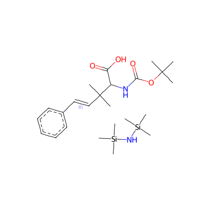 CC(C)(C)OC(=O)NC(C(=O)O)C(C)(C)/C=C/c1ccccc1.C[Si](C)(C)N[Si](C)(C)C